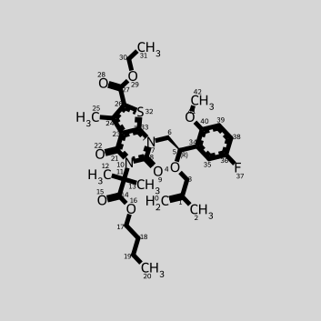 C=C(C)CO[C@@H](Cn1c(=O)n(C(C)(C)C(=O)OCCCC)c(=O)c2c(C)c(C(=O)OCC)sc21)c1cc(F)ccc1OC